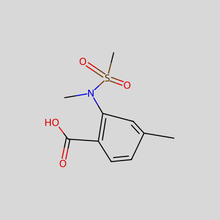 Cc1ccc(C(=O)O)c(N(C)S(C)(=O)=O)c1